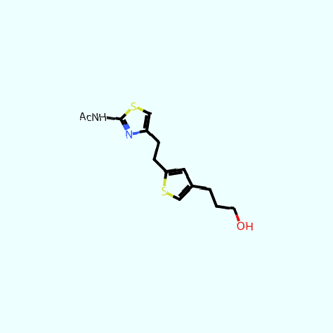 CC(=O)Nc1nc(CCc2cc(CCCO)cs2)cs1